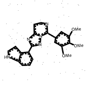 COc1cc(-c2nccc3nc(-c4cccc5[nH]ccc45)nn23)cc(OC)c1OC